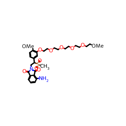 COCCOCCOCCOCCOCCOc1cc(C(CN2C(=O)c3cccc(N)c3C2=O)S(C)(=O)=O)ccc1OC